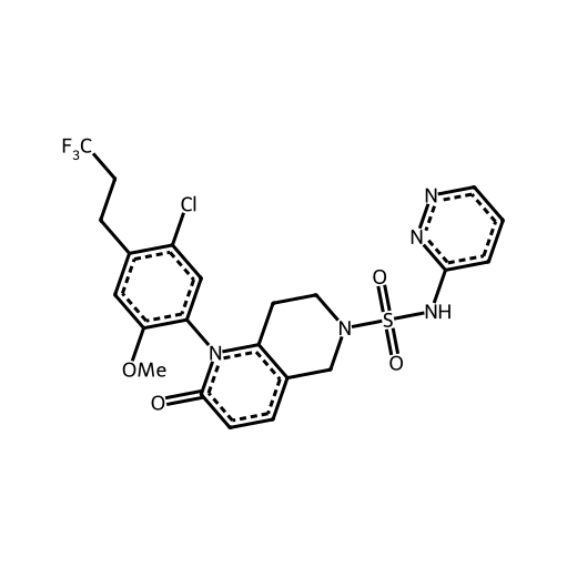 COc1cc(CCC(F)(F)F)c(Cl)cc1-n1c2c(ccc1=O)CN(S(=O)(=O)Nc1cccnn1)CC2